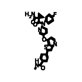 CNC(=O)c1ccc(-c2cc3nccc(Oc4ccc(N(C(=O)C5(C(N)=O)CC5)c5ccc(F)cc5)nc4)c3s2)cc1